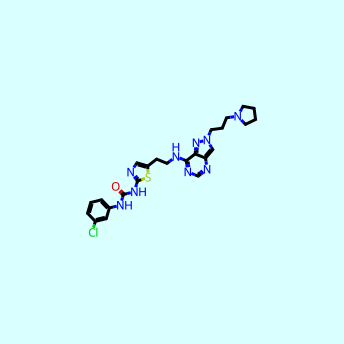 O=C(Nc1cccc(Cl)c1)Nc1ncc(CCNc2ncnc3cn(CCCN4CCCC4)nc23)s1